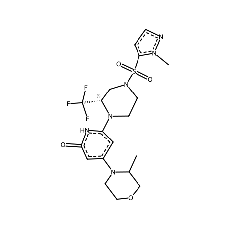 CC1COCCN1c1cc(N2CCN(S(=O)(=O)c3ccnn3C)C[C@H]2C(F)(F)F)[nH]c(=O)c1